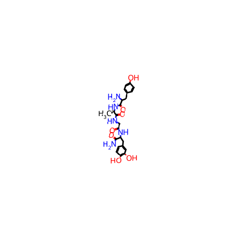 C[C@@H](NC(=O)C(N)Cc1ccc(O)cc1)C(=O)NCC(=O)NC(Cc1ccc(O)c(O)c1)C(N)=O